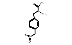 N[C@@H](Cc1ccc(CP(=O)=O)cc1)C(=O)O